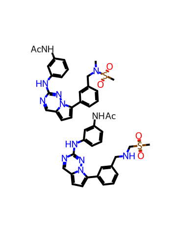 CC(=O)Nc1cccc(Nc2ncc3ccc(-c4cccc(CN(C)S(C)(=O)=O)c4)n3n2)c1.CC(=O)Nc1cccc(Nc2ncc3ccc(-c4cccc(CNCS(C)(=O)=O)c4)n3n2)c1